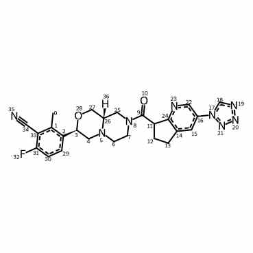 Cc1c([C@@H]2CN3CCN(C(=O)C4CCc5cc(-n6cnnn6)cnc54)C[C@H]3CO2)ccc(F)c1C#N